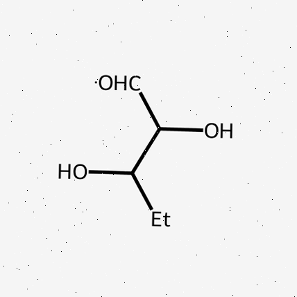 CCC(O)C(O)[C]=O